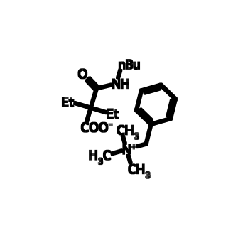 CCCCNC(=O)C(CC)(CC)C(=O)[O-].C[N+](C)(C)Cc1ccccc1